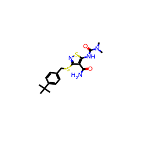 CN(C)C(=O)Nc1snc(SCc2ccc(C(C)(C)C)cc2)c1C(N)=O